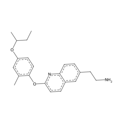 CCC(C)Oc1ccc(Oc2ccc3cc(CCN)ccc3n2)c(C)c1